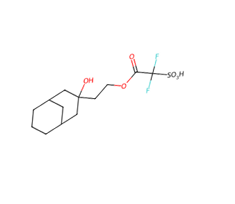 O=C(OCCC1(O)CC2CCCC(C2)C1)C(F)(F)S(=O)(=O)O